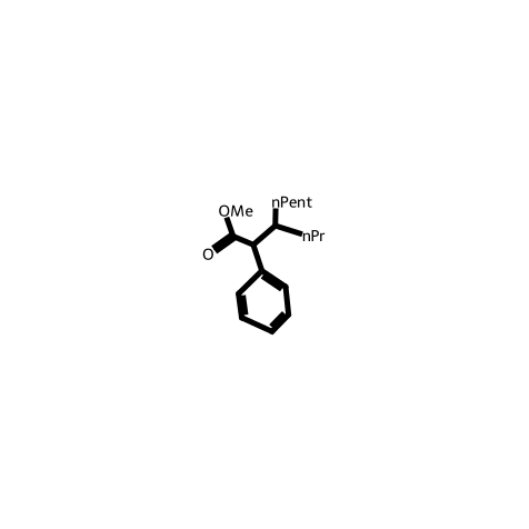 CCCCCC(CCC)C(C(=O)OC)c1ccccc1